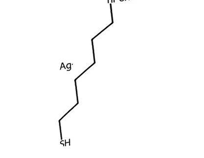 CCCCCCCCCCCS.[Ag]